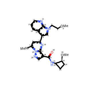 CNc1cc(-c2cn(CCOC)c3ncccc23)nc2c(C(=O)NC3CC[C@@H]3OC)cnn12